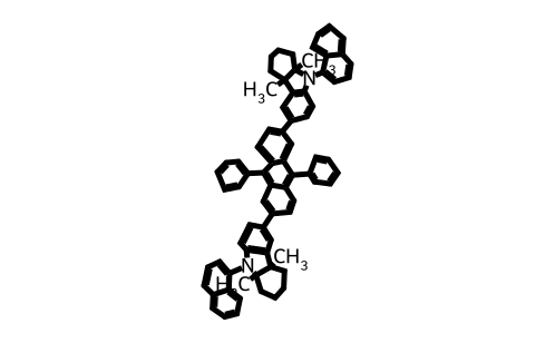 CC12CCCCC1(C)N(c1cccc3ccccc13)c1ccc(-c3ccc4c(-c5ccccc5)c5cc(-c6ccc7c(c6)C6(C)CCCCC6(C)N7c6cccc7ccccc67)ccc5c(-c5ccccc5)c4c3)cc12